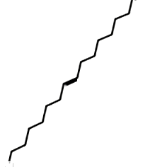 CCCCCCCC=CCCCCCCC=O